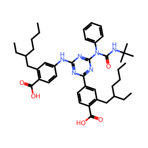 CCCCC(CC)Cc1cc(Nc2nc(-c3ccc(C(=O)O)c(CC(CC)CCCC)c3)nc(N(C(=O)NC(C)(C)C)c3ccccc3)n2)ccc1C(=O)O